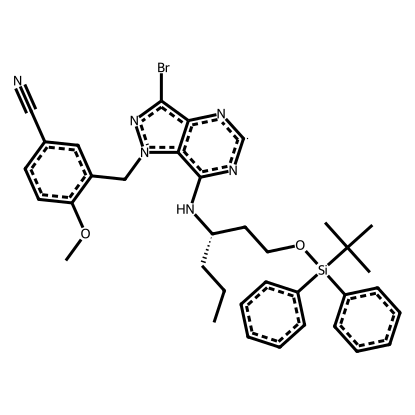 CCC[C@@H](CCO[Si](c1ccccc1)(c1ccccc1)C(C)(C)C)Nc1n[c]nc2c(Br)nn(Cc3cc(C#N)ccc3OC)c12